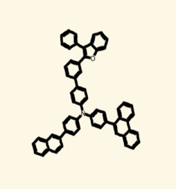 c1ccc(-c2c(-c3cccc(-c4ccc(N(c5ccc(-c6ccc7ccccc7c6)cc5)c5ccc(-c6cc7ccccc7c7ccccc67)cc5)cc4)c3)oc3ccccc23)cc1